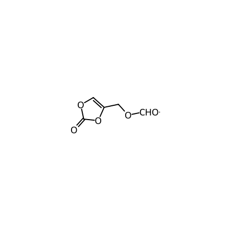 O=[C]OCc1coc(=O)o1